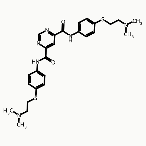 CN(C)CCSc1ccc(NC(=O)c2cc(C(=O)Nc3ccc(SCCN(C)C)cc3)ncn2)cc1